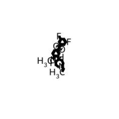 CCN1CC[C@H]2c3cc(S(=O)(=O)c4cc(F)cc(F)c4)ccc3N(C)[C@H]2CC1